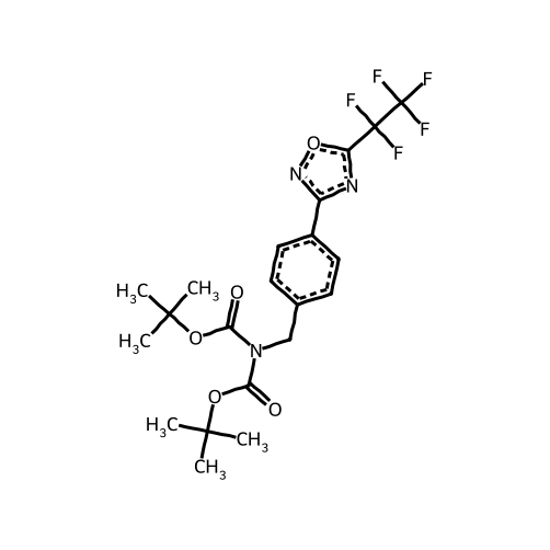 CC(C)(C)OC(=O)N(Cc1ccc(-c2noc(C(F)(F)C(F)(F)F)n2)cc1)C(=O)OC(C)(C)C